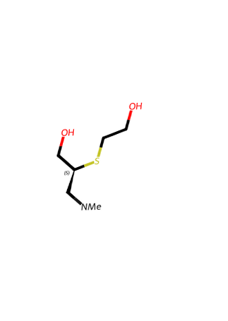 CNC[C@@H](CO)SCCO